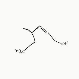 CC(/C=C\CO)CC(=O)O